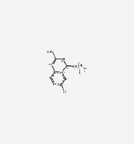 CI.CSC1=Nc2ccc(Cl)cc2C(C)N1.I